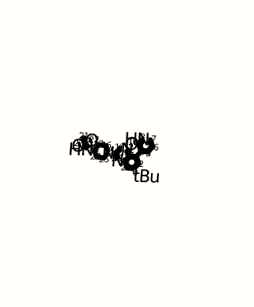 CC(C)(C)c1cc(-c2ccc[nH]c2=O)c2ncc(N3CCC(NS(C)(=O)=O)CC3)nc2c1